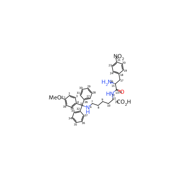 COc1ccc(C(NCCCC[C@H](NC(=O)[C@@H](N)Cc2ccc([N+](=O)[O-])cc2)C(=O)O)(c2ccccc2)c2ccccc2)cc1